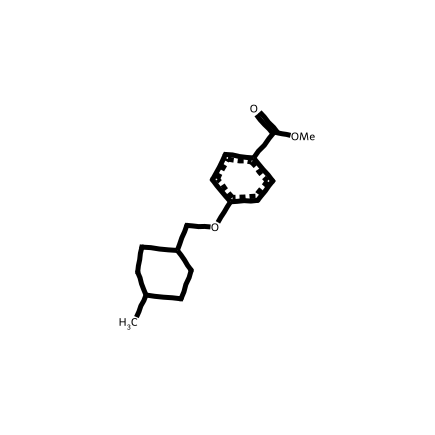 COC(=O)c1ccc(OCC2CCC(C)CC2)cc1